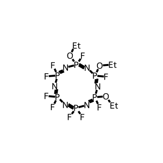 CCOP1(F)=NP(F)(F)=NP(F)(F)=NP(F)(F)=NP(F)(OCC)=NP(F)(OCC)=N1